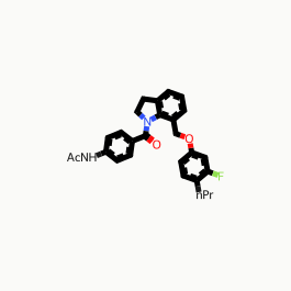 CCCc1ccc(OCc2cccc3c2N(C(=O)c2ccc(NC(C)=O)cc2)CC3)cc1F